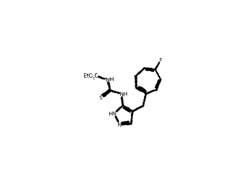 CCOC(=O)NC(=S)Nc1[nH]ncc1CC1=CCC=C(F)C=C1